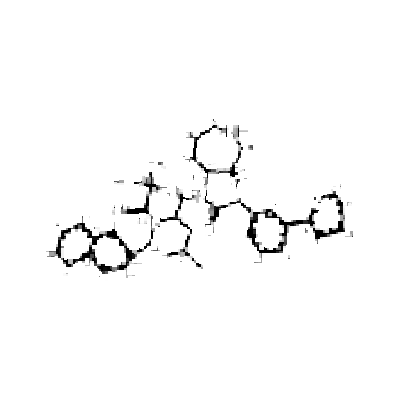 CC(C)CC(C(=O)N(C(=O)Cc1cccc(-c2ccccn2)c1)[C@H]1CCCNCC1=O)N(Cc1ccc2ccccc2c1)C(=O)C(F)(F)F